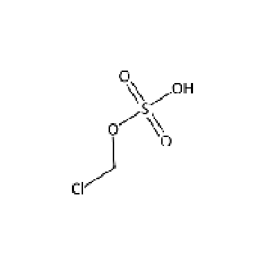 O=S(=O)(O)OCCl